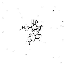 C[C@H]1O[C@@H](n2c[n+](C)c3c(=O)[nH]c(N)nc32)[C@H](O)C1CC(=O)N(C)C